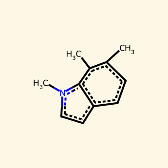 Cc1ccc2ccn(C)c2c1C